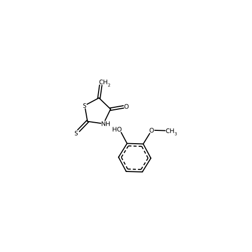 C=C1SC(=S)NC1=O.COc1ccccc1O